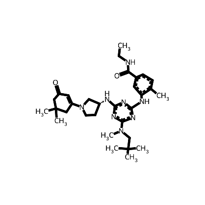 CCNC(=O)c1ccc(C)c(Nc2nc(N[C@@H]3CCN(C4=CC(=O)CC(C)(C)C4)C3)nc(N(C)CC(C)(C)C)n2)c1